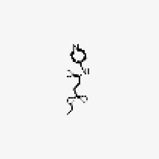 CCOC(=O)CCC(=O)Nc1ccncc1